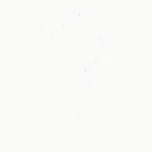 CC1NC(C(=O)NN=Cc2ccc(Cl)cc2)Cc2c1[nH]c1ccccc21